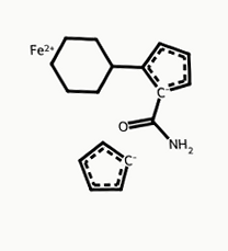 NC(=O)[c-]1cccc1C1CCCCC1.[Fe+2].c1cc[cH-]c1